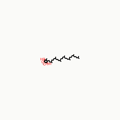 COc1c(O)c(C)c(CCC(C)CCCC(C)CCCC(C)CCCC(C)CCCC(C)CCCC(C)CCCC(C)C)c(O)c1OC